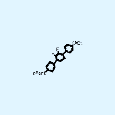 CCCCCc1ccc(-c2ccc(-c3ccc(OCC)cc3)c(F)c2F)cc1